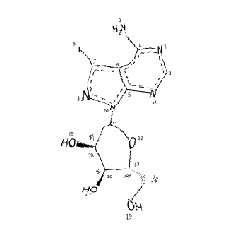 Nc1ncnc2c1c(I)nn2C1O[C@H](CO)[C@@H](O)[C@H]1O